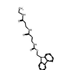 CCNC(=O)CCNC(=O)CCNC(=O)OCC1c2ccccc2-c2ccccc21